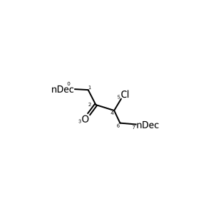 CCCCCCCCCCCC(=O)C(Cl)CCCCCCCCCCC